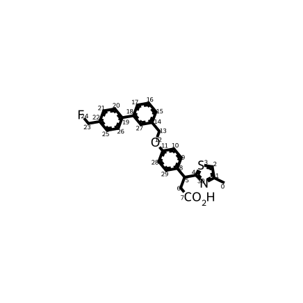 Cc1csc(C(CC(=O)O)c2ccc(OCc3cccc(-c4ccc(CF)cc4)c3)cc2)n1